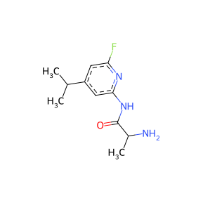 CC(N)C(=O)Nc1cc(C(C)C)cc(F)n1